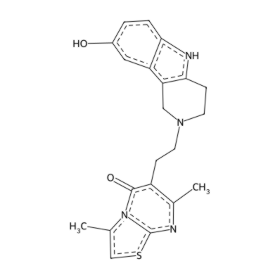 Cc1nc2scc(C)n2c(=O)c1CCN1CCc2[nH]c3ccc(O)cc3c2C1